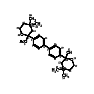 CC(=O)OC1(c2ccc(-c3ccc(C4(O)C[N+](C)(C)CCO4)cc3)cc2)C[N+](C)(C)CCO1